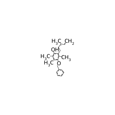 C=C[C](C)CCc1c(C)c(OCc2ccccc2)c(C)c(C)c1O